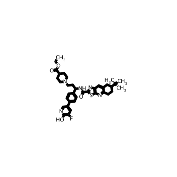 CCOC(=O)C1CCN(CCC(NC(=O)c2nc3cc4c(nc3s2)CCC(C(C)(C)C)C4)c2ccc(-c3cnc(O)c(F)c3)cc2)CC1